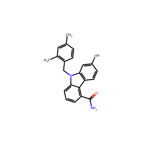 CCCc1c[c]c2c3c(C(N)=O)cccc3n(Cc3ccc(C)cc3C)c2c1